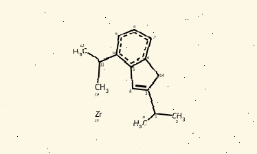 CC(C)C1=Cc2c(cccc2C(C)C)[CH]1.[Zr]